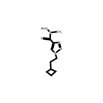 CON(C)C(=O)c1cn(CCC2CCC2)nn1